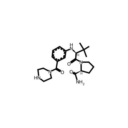 CC(C)(C)[C@H](Nc1cccc(C(=O)N2CCNCC2)c1)C(=O)N1CCC[C@H]1C(N)=O